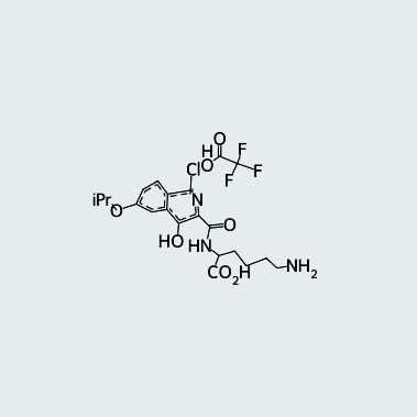 CC(C)Oc1ccc2c(Cl)nc(C(=O)NC(CCCCN)C(=O)O)c(O)c2c1.O=C(O)C(F)(F)F